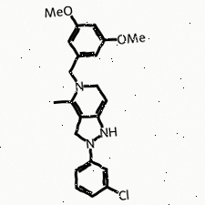 COc1cc(CN2CC=C3NN(c4cccc(Cl)c4)CC3=C2C)cc(OC)c1